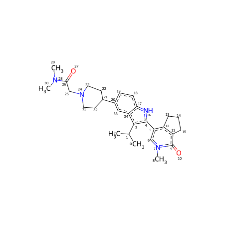 CC(C)c1c(-c2cn(C)c(=O)c3c2CCC3)[nH]c2ccc(C3CCN(CC(=O)N(C)C)CC3)cc12